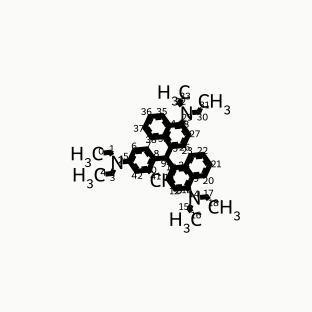 CCN(CC)c1ccc(C(c2ccc(N(CC)CC)c3ccccc23)c2ccc(N(CC)CC)c3ccccc23)c(C)c1